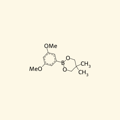 COc1cc(OC)cc(B2OCC(C)(C)CO2)c1